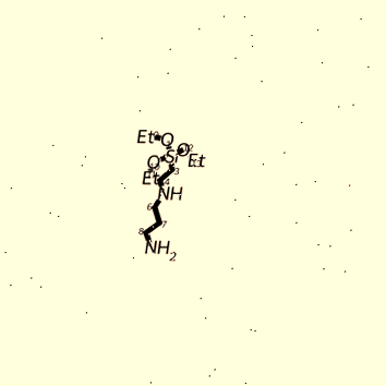 CCO[Si](CCNCCCN)(OCC)OCC